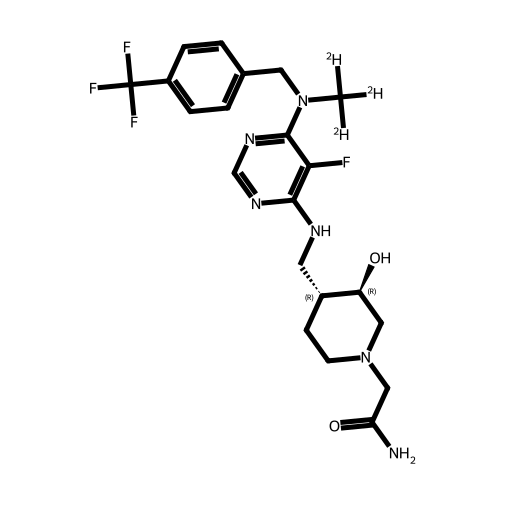 [2H]C([2H])([2H])N(Cc1ccc(C(F)(F)F)cc1)c1ncnc(NC[C@H]2CCN(CC(N)=O)C[C@@H]2O)c1F